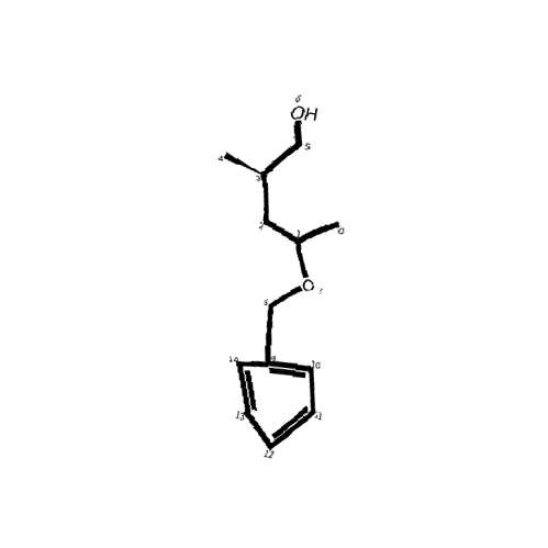 CC(C[C@@H](C)CO)OCc1ccccc1